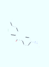 C=C(/C=C\C(F)=C/C)C(=O)c1ccc([N+](=O)[O-])cc1